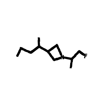 CCCC(C)C1CN(C(C)CF)C1